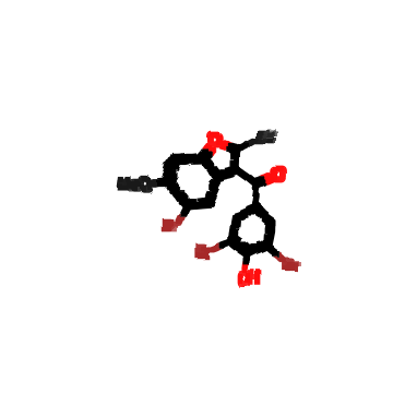 CCc1oc2cc(OC)c(Br)cc2c1C(=O)c1cc(Br)c(O)c(Br)c1